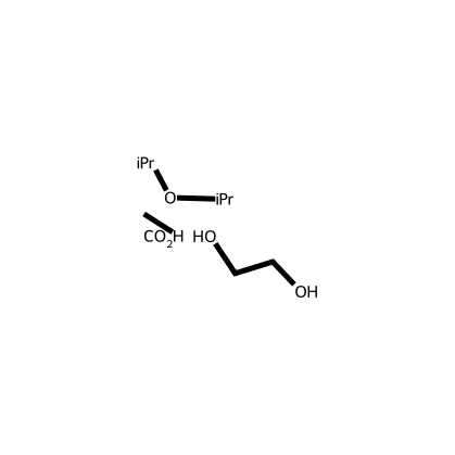 CC(=O)O.CC(C)OC(C)C.OCCO